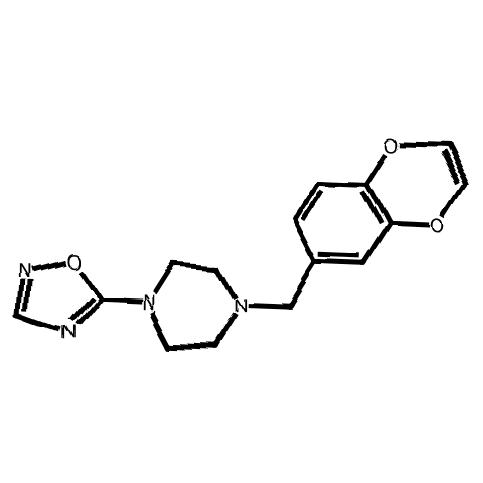 C1=COc2cc(CN3CCN(c4ncno4)CC3)ccc2O1